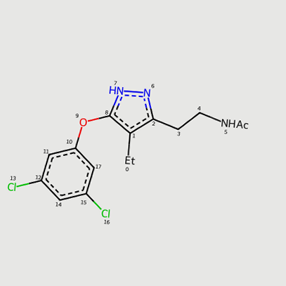 CCc1c(CCNC(C)=O)n[nH]c1Oc1cc(Cl)cc(Cl)c1